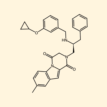 Cc1ccc2c(c1)cc1n2C(=O)CN(C[C@H](Cc2ccccc2)NCc2cccc(OC3CC3)c2)C1=O